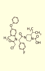 Cc1cc(Oc2ccccc2)ccc1N(C(=O)CCl)[C@H](C(=O)N1CCN(C(=O)O)C(C(C)C)C1)c1ccc(F)cc1